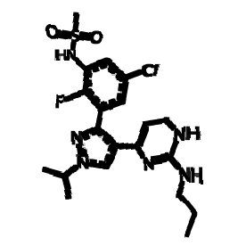 CCCNC1=NC(c2cn(C(C)C)nc2-c2cc(Cl)cc(NS(C)(=O)=O)c2F)=CCN1